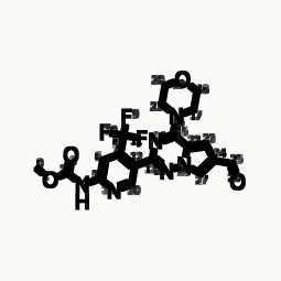 COC(=O)Nc1cc(C(F)(F)F)c(-c2nc(N3CCOCC3)c3cc(C=O)cn3n2)cn1